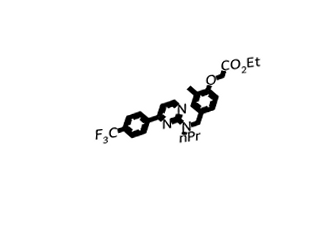 CCCN(Cc1ccc(OCC(=O)OCC)c(C)c1)c1nccc(-c2ccc(C(F)(F)F)cc2)n1